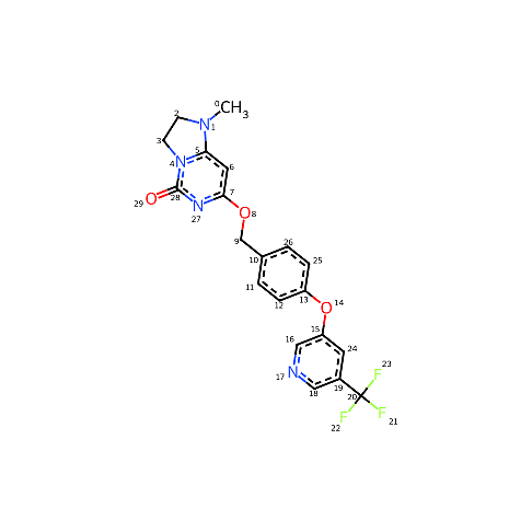 CN1CCn2c1cc(OCc1ccc(Oc3cncc(C(F)(F)F)c3)cc1)nc2=O